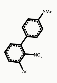 CSc1ccc(-c2[c]ccc(C(C)=O)c2[N+](=O)[O-])cc1